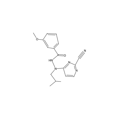 COc1cccc(C(=O)NN(CC(C)C)c2ccnc(C#N)n2)c1